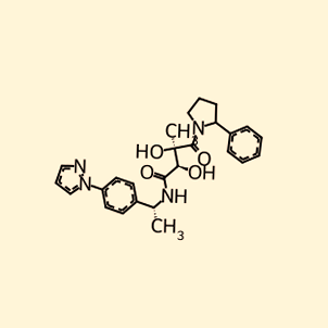 C[C@@H](NC(=O)[C@H](O)[C@@](C)(O)C(=O)N1CCCC1c1ccccc1)c1ccc(-n2cccn2)cc1